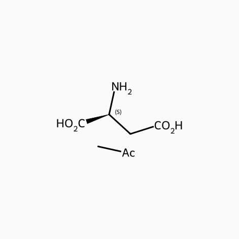 CC(C)=O.N[C@@H](CC(=O)O)C(=O)O